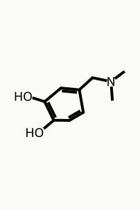 CN(C)Cc1ccc(O)c(O)c1